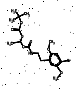 COc1cc(CCNC(=O)OC(C)OC(=O)OC(C)(C)C)c(OC)cc1Br